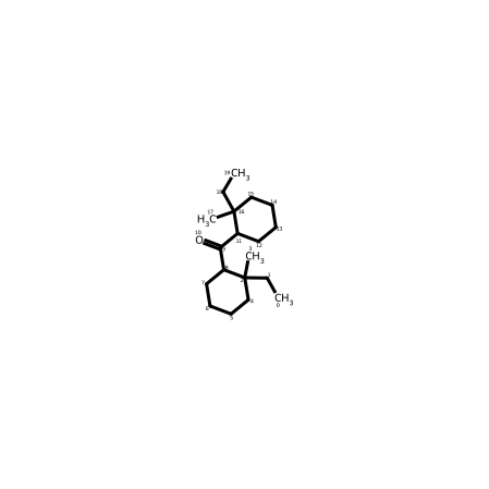 CCC1(C)CCCCC1C(=O)C1CCCCC1(C)CC